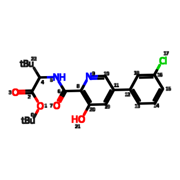 CC(C)(C)OC(=O)C(NC(=O)c1ncc(-c2cccc(Cl)c2)cc1O)C(C)(C)C